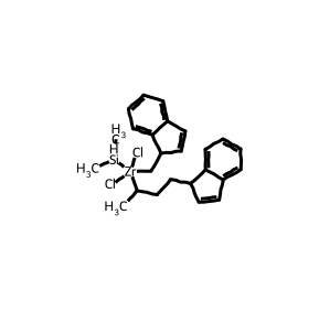 C[CH](CCC1C=Cc2ccccc21)[Zr]([Cl])([Cl])([CH2]C1C=Cc2ccccc21)[SiH](C)C